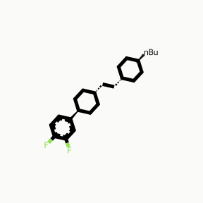 CCCC[C@H]1CC[C@H](CC[C@H]2CC[C@H](c3ccc(F)c(F)c3)CC2)CC1